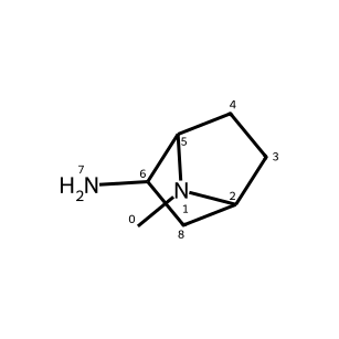 CN1C2CCC1C(N)C2